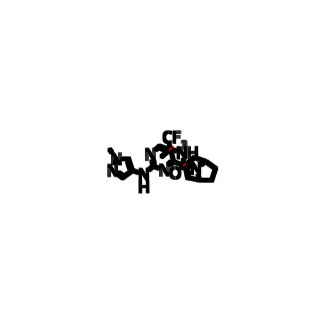 CC(NC(=O)N1C2C=C(c3ccnc(Nc4cnn(C)c4)n3)CC1CC2)C(F)(F)F